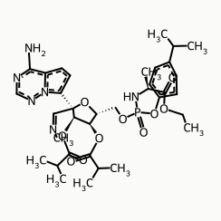 CCOC(=O)[C@H](C)NP(=O)(OC[C@H]1O[C@@](/C=N\C)(c2ccc3c(N)ncnn23)[C@H](OC(=O)C(C)C)[C@@H]1OC(=O)C(C)C)Oc1ccc(C(C)C)cc1